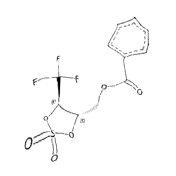 O=C(OC[C@@H]1OS(=O)(=O)O[C@H]1C(F)(F)F)c1ccccc1